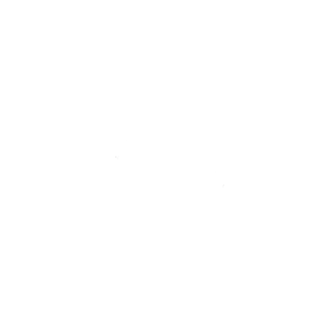 CS(C)(C)(C)(C)C#Cc1ccc(F)c(NC(=O)C(F)(F)F)c1